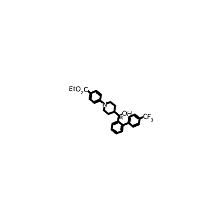 CCOC(=O)c1ccc(N2CCC([C@@H](O)c3ccccc3-c3ccc(C(F)(F)F)cc3)CC2)cc1